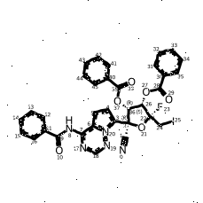 N#C[C@@]1(c2ccc3c(NC(=O)c4ccccc4)ncnn23)O[C@](F)(CI)[C@@H](OC(=O)c2ccccc2)[C@H]1OC(=O)c1ccccc1